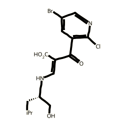 CC(C)C[C@@H](CO)N/C=C(\C(=O)O)C(=O)c1cc(Br)cnc1Cl